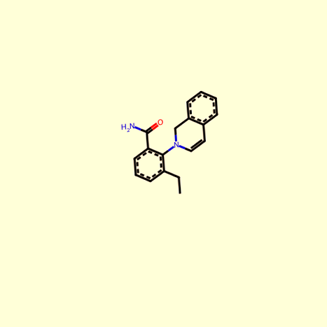 CCc1cccc(C(N)=O)c1N1C=Cc2ccccc2C1